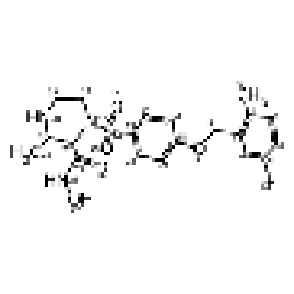 Cc1ccc(F)cc1COc1ccc(S(=O)(=O)N2CCNC(C)C2C(=O)NO)cc1